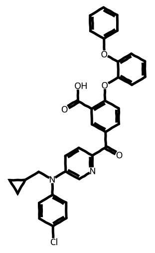 O=C(c1ccc(Oc2ccccc2Oc2ccccc2)c(C(=O)O)c1)c1ccc(N(CC2CC2)c2ccc(Cl)cc2)cn1